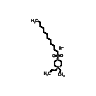 C=CC[N+]1(CC)CCN(S(=O)(=O)CCCCCCCCCCCC)CC1.[Br-]